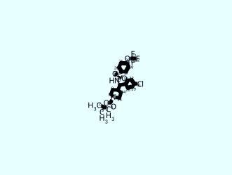 CC(C)(C)OC(=O)N1CCC([C@@H](NS(=O)(=O)c2ccc(OC(F)(F)F)cc2)c2ccc(Cl)cc2)CC1